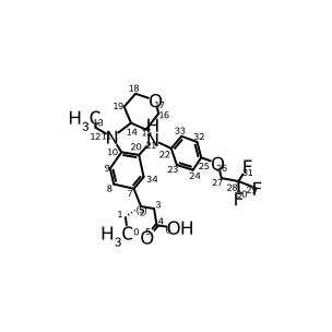 CC[C@@H](CC(=O)O)c1ccc(N(CC)C2CCOCC2)c(Nc2ccc(OCC(F)(F)F)cc2)c1